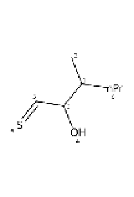 CCCC(C)C(O)C=S